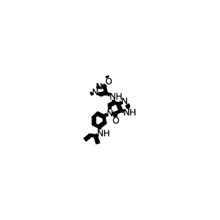 C=CC(=C)Nc1cccc(-n2cc(Nc3cn(C)nc3OC)c3nc[nH]c3c2=O)c1